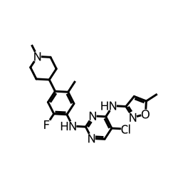 Cc1cc(Nc2nc(Nc3cc(C)c(C4CCN(C)CC4)cc3F)ncc2Cl)no1